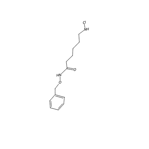 O=C(CCCCCNCl)NOCc1ccccc1